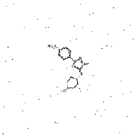 Cn1nc(-c2ccc(C(=O)O)cc2)sc1=N[C@H]1CC[C@H](O)CC1